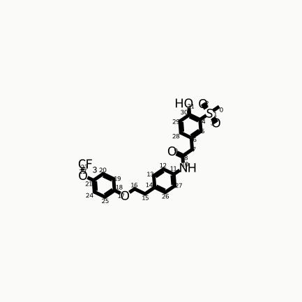 CS(=O)(=O)c1cc(CC(=O)Nc2ccc(CCOc3ccc(OC(F)(F)F)cc3)cc2)ccc1O